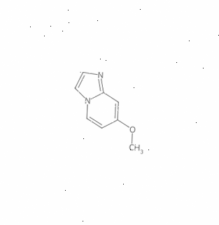 COc1ccn2c[c]nc2c1